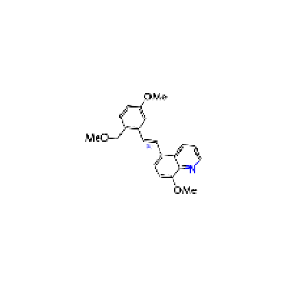 COCc1ccc(OC)cc1/C=C/c1ccc(OC)c2ncccc12